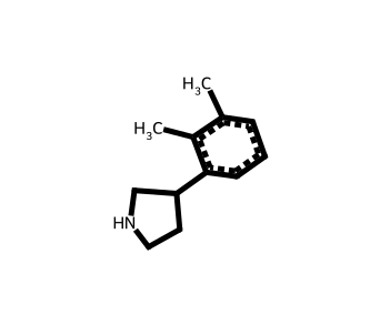 Cc1cccc(C2CCNC2)c1C